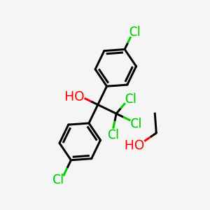 CCO.OC(c1ccc(Cl)cc1)(c1ccc(Cl)cc1)C(Cl)(Cl)Cl